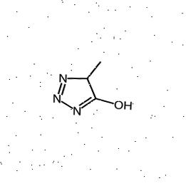 CC1N=NN=C1O